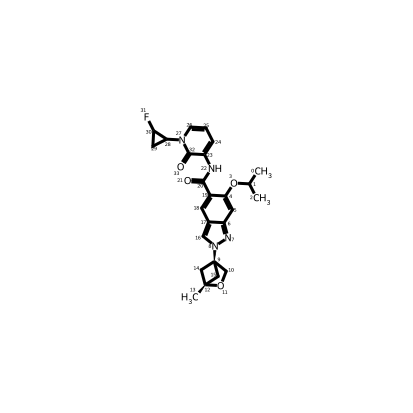 CC(C)Oc1cc2nn([C@]34CO[C@](C)(C3)C4)cc2cc1C(=O)Nc1cccn(C2CC2F)c1=O